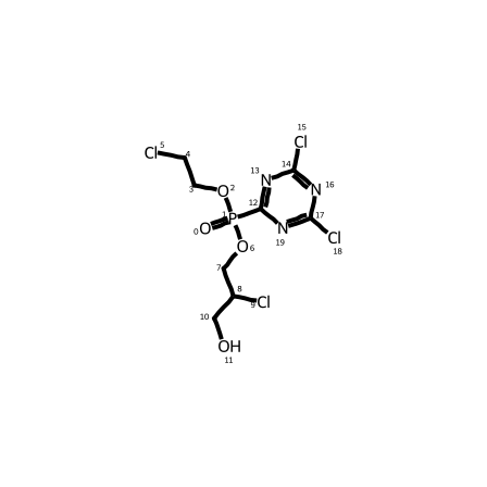 O=P(OCCCl)(OCC(Cl)CO)c1nc(Cl)nc(Cl)n1